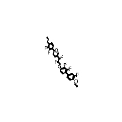 CCCc1ccc(C2CCC(C(F)C(F)COc3ccc(-c4ccc(OCC)c(F)c4)c(F)c3F)CO2)c(F)c1F